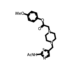 COc1ccc(OC(=O)CN2CCN(Cc3cnc(NC(C)=O)s3)CC2)cc1